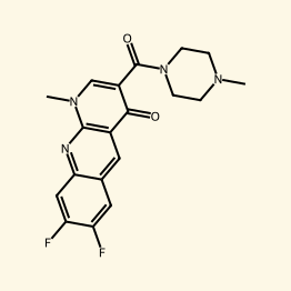 CN1CCN(C(=O)c2cn(C)c3nc4cc(F)c(F)cc4cc3c2=O)CC1